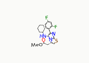 COC(=O)Cc1csc2nc(-c3ccc(F)cc3F)c(NC3CCCCC3)n12